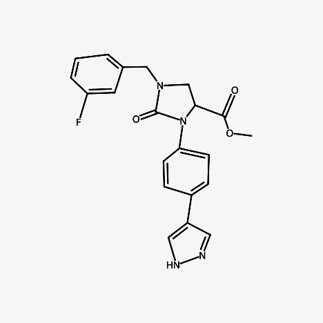 COC(=O)C1CN(Cc2cccc(F)c2)C(=O)N1c1ccc(-c2cn[nH]c2)cc1